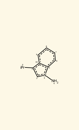 CC(C)c1cn(N)c2ccccc12